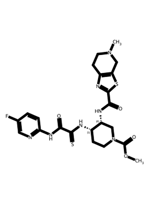 COC(=O)N1CC[C@H](NC(=S)C(=O)Nc2ccc(F)cn2)[C@H](NC(=O)c2nc3c(s2)CN(C)CC3)C1